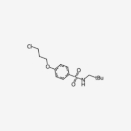 CC(C)(C)CNS(=O)(=O)c1ccc(OCCCCl)cc1